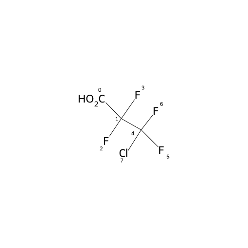 O=C(O)C(F)(F)C(F)(F)Cl